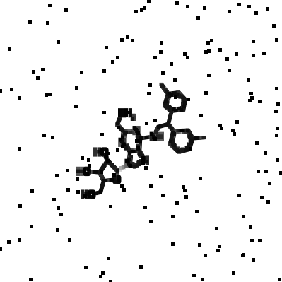 Cc1cccc(C(CNc2nc(CN)nc3c2ncn3[C@@H]2OC(CO)C(O)[C@H]2O)c2cccc(C)c2)c1